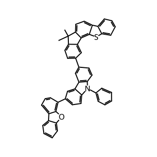 CC1(C)c2ccc(-c3ccc4c(c3)c3cc(-c5cccc6c5oc5ccccc56)ccc3n4-c3ccccc3)cc2-c2c1ccc1c2sc2ccccc21